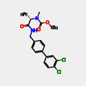 CCC[C@@H](C(=O)NCc1ccc(-c2ccc(Cl)c(Cl)c2)cc1)N(C)C(=O)OC(C)(C)C